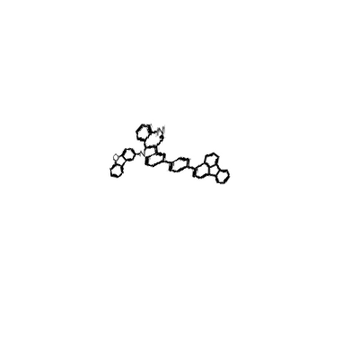 c1ccc2c(c1)-c1cccc3c(-c4ccc(-c5ccc6c(c5)c5cnc7ccccc7c5n6-c5ccc6oc7ccccc7c6c5)cc4)ccc-2c13